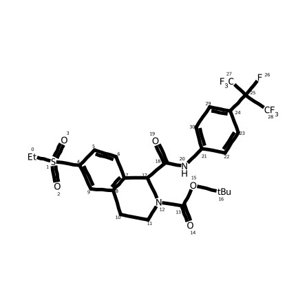 CCS(=O)(=O)c1ccc2c(c1)CCN(C(=O)OC(C)(C)C)C2C(=O)Nc1ccc(C(F)(C(F)(F)F)C(F)(F)F)cc1